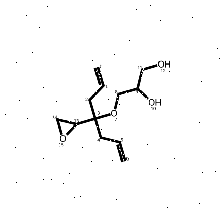 C=CCC(CC=C)(OCC(O)CO)C1CO1